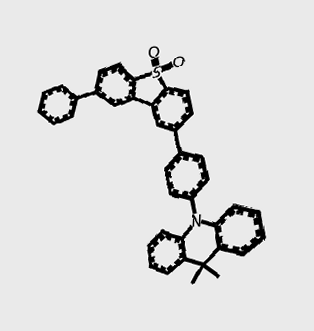 CC1(C)c2ccccc2N(c2ccc(-c3ccc4c(c3)-c3cc(-c5ccccc5)ccc3S4(=O)=O)cc2)c2ccccc21